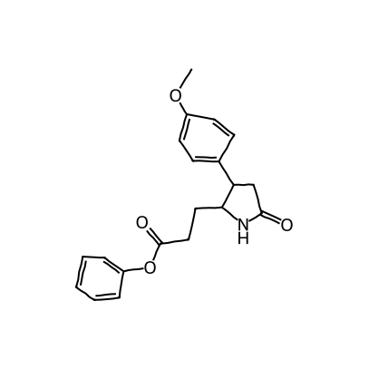 COc1ccc(C2CC(=O)NC2CCC(=O)Oc2ccccc2)cc1